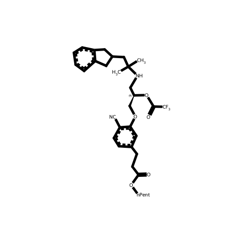 CCCCCOC(=O)CCc1ccc(C#N)c(OC[C@@H](CNC(C)(C)CC2Cc3ccccc3C2)OC(=O)C(F)(F)F)c1